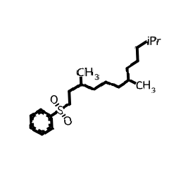 CC(C)CCCC(C)CCCC(C)CCS(=O)(=O)c1ccccc1